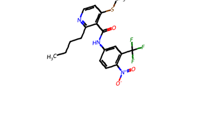 CCCCc1nccc(SC)c1C(=O)Nc1ccc([N+](=O)[O-])c(C(F)(F)F)c1